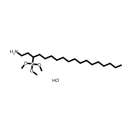 CCCCCCCCCCCCCCCC(CCN)[Si](OC)(OC)OC.Cl